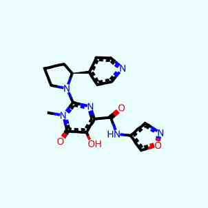 Cn1c(N2CCC[C@H]2c2ccncc2)nc(C(=O)Nc2cnoc2)c(O)c1=O